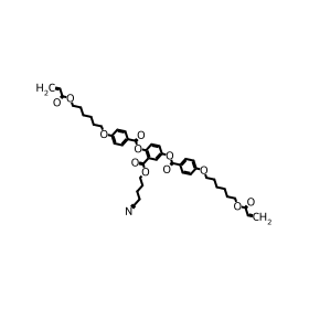 C=CC(=O)OCCCCCCOc1ccc(C(=O)Oc2ccc(OC(=O)c3ccc(OCCCCCCOC(=O)C=C)cc3)c(C(=O)OCCCCC#N)c2)cc1